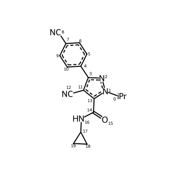 CC(C)n1nc(-c2ccc(C#N)cc2)c(C#N)c1C(=O)NC1CC1